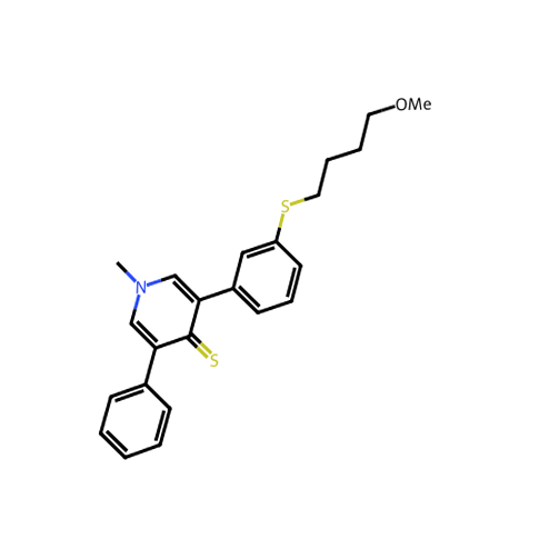 COCCCCSc1cccc(-c2cn(C)cc(-c3ccccc3)c2=S)c1